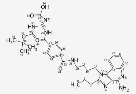 CCCc1nc2c(N)nc3ccccc3c2n1CCCCNC(=O)c1ccc(CN/C(=N/C(=O)O)NC(=O)OC(C)(C)C)cc1